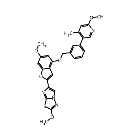 COc1cc(OCc2cccc(-c3cnc(OC)cc3C)c2)c2cc(-c3cn4nc(OC)sc4n3)oc2c1